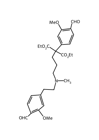 CCOC(=O)C(CCCN(C)CCc1ccc(C=O)c(OC)c1)(C(=O)OCC)c1ccc(C=O)c(OC)c1